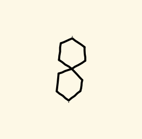 [CH]1CCC2(CC1)CC[CH]CC2